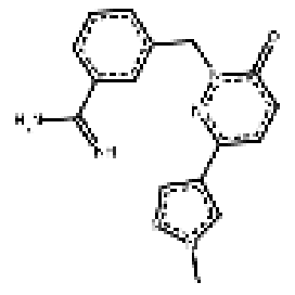 Cn1cc(-c2ccc(=O)n(Cc3cccc(C(=N)N)c3)n2)cn1